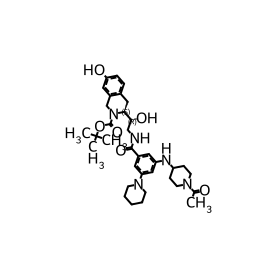 CC(=O)N1CCC(Nc2cc(C(=O)NC[C@@H](O)[C@@H]3Cc4ccc(O)cc4CN3C(=O)OC(C)(C)C)cc(N3CCCCC3)c2)CC1